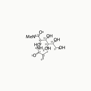 C=C(C)C(N)=O.CNC(=O)C(O)C(O)C(O)C(O)CO